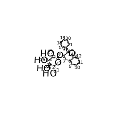 OC[C@H]1OC(OC2Cc3ccccc3OC2c2ccccc2)[C@H](O)[C@@H](O)[C@@H]1O